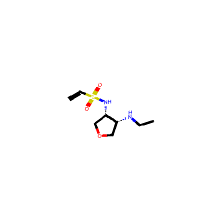 C=CS(=O)(=O)N[C@H]1COC[C@H]1NCC